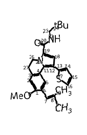 COc1cc2c(cc1C=C(C)C)-c1c(-c3cccs3)cc(C(=O)NCC(C)(C)C)n1CC2